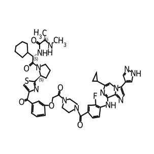 CN[C@@H](C)C(=O)N[C@H](C(=O)N1CCC[C@H]1c1nc(C(=O)c2cccc(OCC(=O)N3CCN(C(=O)c4ccc(Nc5nc(C6CC6)cn6c(-c7cn[nH]c7)cnc56)c(F)c4)CC3)c2)cs1)C1CCCCC1